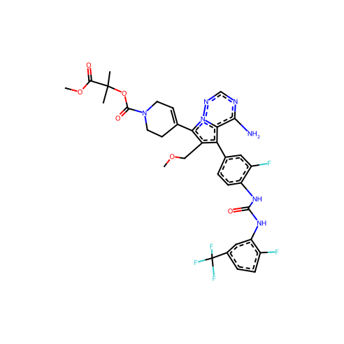 COCc1c(-c2ccc(NC(=O)Nc3cc(C(F)(F)F)ccc3F)c(F)c2)c2c(N)ncnn2c1C1=CCN(C(=O)OC(C)(C)C(=O)OC)CC1